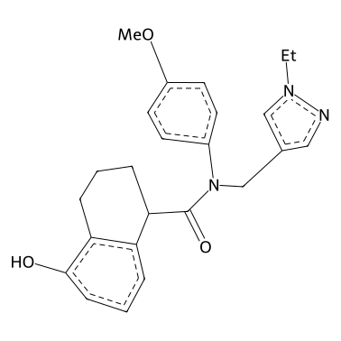 CCn1cc(CN(C(=O)C2CCCc3c(O)cccc32)c2ccc(OC)cc2)cn1